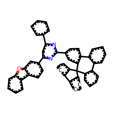 c1ccc(-c2cc(-c3ccc4c(c3)oc3ccccc34)nc(-c3ccc4c(c3)C3(c5ccccc5-c5ccccc5-4)c4ccccc4-c4ccccc43)n2)cc1